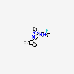 C=C(F)C(C)N1CCN(c2nc(CC)nc3nc(-c4cc(CC)cc5ccccc45)ccc23)CC1